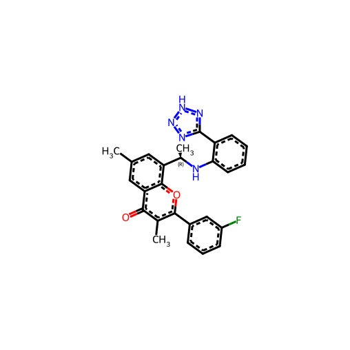 Cc1cc([C@@H](C)Nc2ccccc2-c2nn[nH]n2)c2oc(-c3cccc(F)c3)c(C)c(=O)c2c1